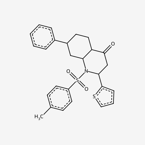 Cc1ccc(S(=O)(=O)N2C(c3cccs3)CC(=O)C3CCC(c4ccccc4)CC32)cc1